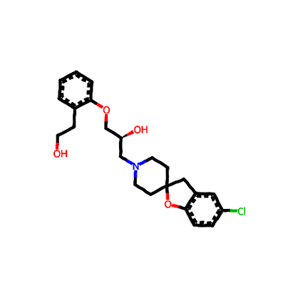 OCCc1ccccc1OC[C@@H](O)CN1CCC2(CC1)Cc1cc(Cl)ccc1O2